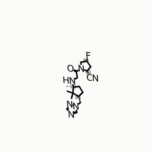 CC1(C)[C@H](Cn2cncn2)CC[C@]1(C)NCC(=O)N1C[C@@H](F)C[C@H]1C#N